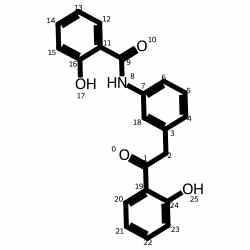 O=C(Cc1cccc(NC(=O)c2ccccc2O)c1)c1ccccc1O